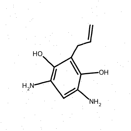 C=CCc1c(O)c(N)cc(N)c1O